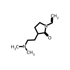 C=CN1CCC(CCN(C)C)C1=O